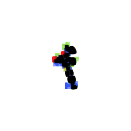 NC(=O)c1cc(-c2cc3sc(N4CCN(c5ccc(-c6ncc[nH]6)cc5)CC4)nc3nc2[C@H](Cc2cc(F)cc(F)c2)NC(=O)Cn2nc(C(F)F)c3c2C2CC(C3)C2)ccc1F